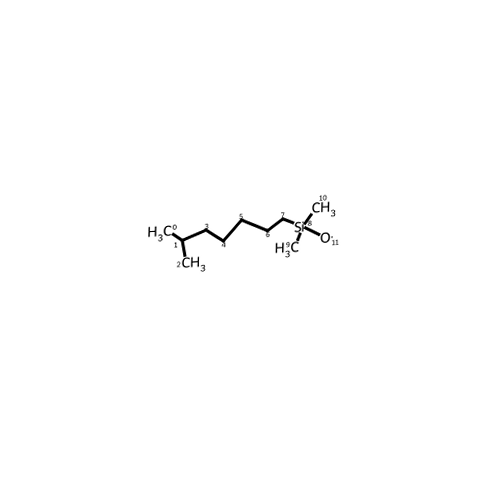 CC(C)CCCCC[Si](C)(C)[O]